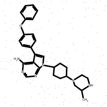 CC1CN(C2CCC(n3cc(-c4ccc(Oc5ccccc5)cc4)c4c(N)ncnc43)CC2)CCN1